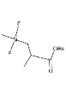 CC(C)COC(=O)C(C)C[Si](C)(F)F